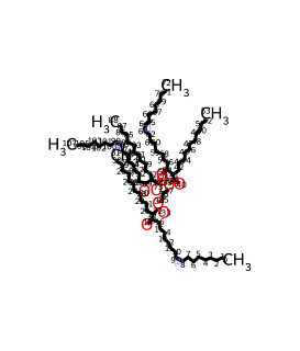 CCCCCCCC/C=C\CCCCCCCC(=O)C(CCCCCCCCCCCC)C(=O)OCC(COC(=O)C(CCCCCCCCCCCC)C(=O)CCCCCCC/C=C\CCCCCCCC)OC(=O)C(CCCCCCCCCCCC)C(=O)CCCCCCC/C=C\CCCCCCCC